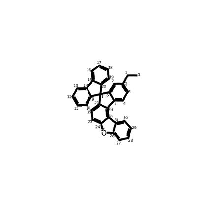 CCc1ccc2c(c1)C1(c3ccccc3-c3ccccc31)c1ccc3oc4ccccc4c3c1-2